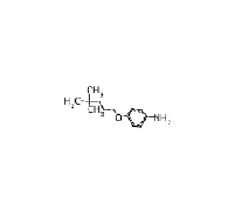 CC(C)(C)CCCOc1ccc(N)cc1